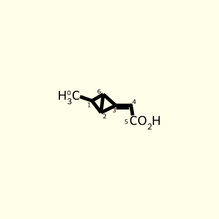 CC1C2C(=CC(=O)O)C12